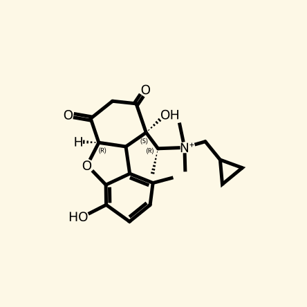 Cc1ccc(O)c2c1C1[C@@H](O2)C(=O)CC(=O)[C@@]1(O)[C@@H](C)[N+](C)(C)CC1CC1